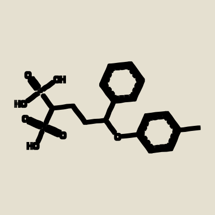 Cc1ccc(OC(CCC(P(=O)(O)O)S(=O)(=O)O)c2ccccc2)cc1